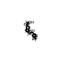 COc1ccc2c(c1NC(=O)Cc1ccc(C(F)(F)F)c(F)c1)CCN(C(=O)C(C)(C)CO)C2